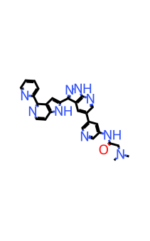 CN(C)CC(=O)Nc1cncc(-c2cnc3[nH]nc(-c4cc5c(-c6ccccn6)nccc5[nH]4)c3c2)c1